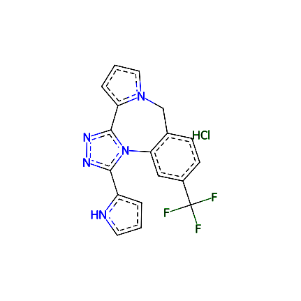 Cl.FC(F)(F)c1ccc2c(c1)-n1c(-c3ccc[nH]3)nnc1-c1cccn1C2